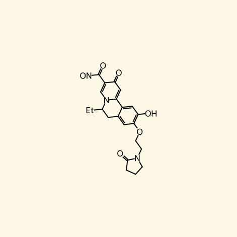 CCC1Cc2cc(OCCN3CCCC3=O)c(O)cc2-c2cc(=O)c(C(=O)N=O)cn21